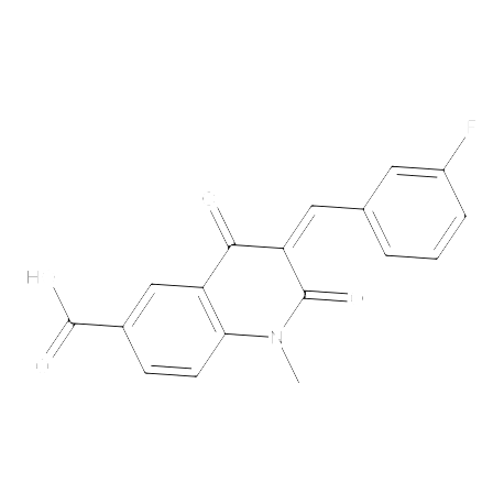 CN1C(=O)/C(=C\c2cccc(F)c2)C(=O)c2cc(C(=O)O)ccc21